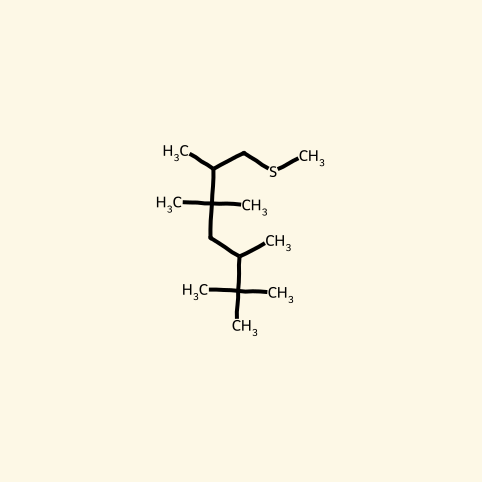 CSCC(C)C(C)(C)CC(C)C(C)(C)C